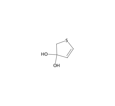 OC1(O)C=CSC1